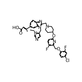 CCn1cncc1Cn1c(CN2CCC(Oc3ccc(F)c(COc4ccc(Cl)cc4F)n3)CC2)nc2ccc(/C(C)=C/C(=O)O)cc21